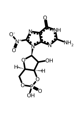 Nc1nc2c(nc([N+](=O)[O-])n2[C@@H]2O[C@@H]3COP(=O)(O)O[C@@H]3C2O)c(=O)[nH]1